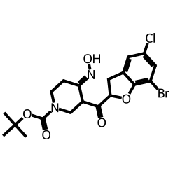 CC(C)(C)OC(=O)N1CCC(=NO)C(C(=O)C2Cc3cc(Cl)cc(Br)c3O2)C1